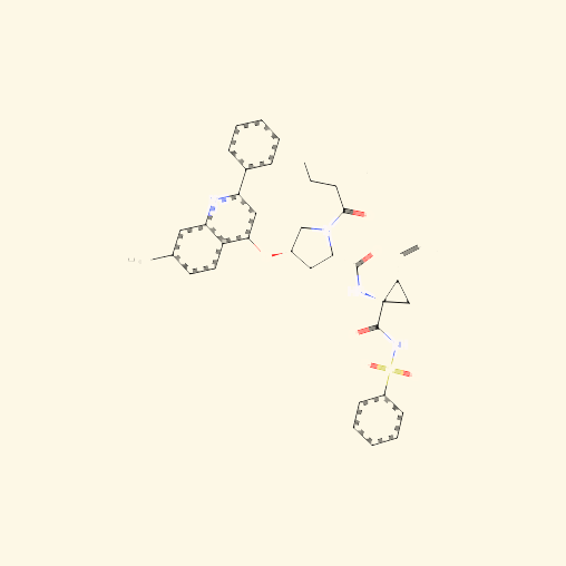 C=C[C@@H]1C[C@]1(NC(=O)[C@@H]1C[C@@H](Oc2cc(-c3ccccc3)nc3cc(OC)ccc23)CN1C(=O)[C@@H](C)CC=O)C(=O)NS(=O)(=O)c1ccccc1